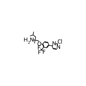 CC(C)CC(C)(N)COc1ccc(-c2ccnc(Cl)n2)cc1C(F)(F)F